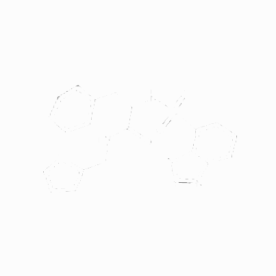 O=C(NCc1cccs1)C(Cc1ccccc1)NS(=O)(=O)c1cccc2nsnc12